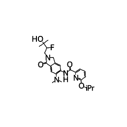 CC(C)Oc1cccc(C(=O)Nc2cc3c(cc2N(C)C)C(=O)N(CC(F)C(C)(C)O)C3)n1